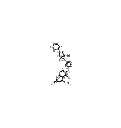 Cc1cc(N)nc2ncn(Cc3nc([C@H]4[C@@H]5C=C(c6ccccc6)C[C@@H]54)no3)c(=O)c12